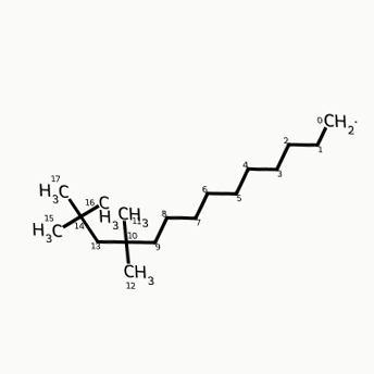 [CH2]CCCCCCCCCC(C)(C)CC(C)(C)C